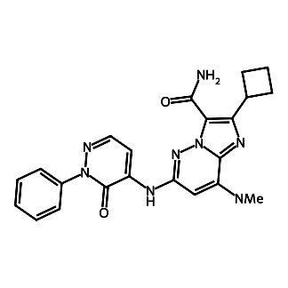 CNc1cc(Nc2ccnn(-c3ccccc3)c2=O)nn2c(C(N)=O)c(C3CCC3)nc12